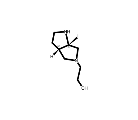 OCCN1C[C@@H]2CCN[C@@H]2C1